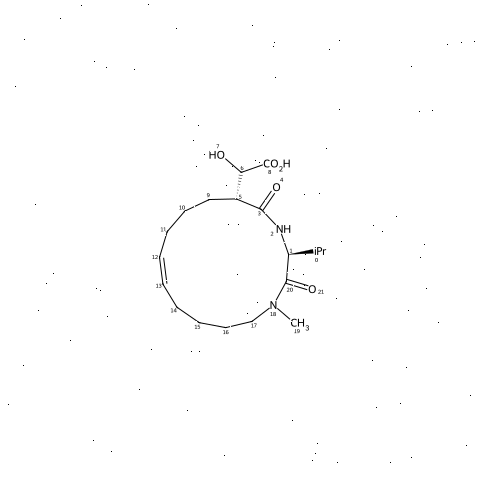 CC(C)[C@@H]1NC(=O)[C@@H](C(O)C(=O)O)CCCC=CCCCCN(C)C1=O